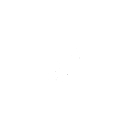 CN1CC[C@@](O)(C#Cc2cccc(-c3cc(-c4ccccc4)c4ncnc(N)c4n3)c2)C1=O